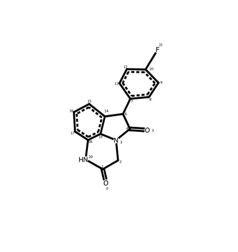 O=C1CN2C(=O)C(c3ccc(F)cc3)c3cccc(c32)N1